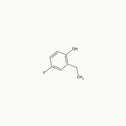 CCc1cc(F)ccc1O